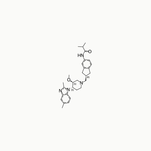 CO[C@H]1CN(C[C@@H]2Cc3ccc(NC(=O)C(C)C)cc3C2)CC[C@@H]1n1c(C)nc2cc(C)ccc21